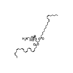 CC/C=C\C/C=C\C/C=C\C/C=C\C/C=C\C/C=C\CCC(=O)O[C@H](COC(=O)CCCCCCCCC/C=C\C/C=C\CCCCC)COP(=O)(O)OCCN